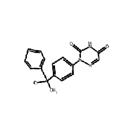 CC(Cl)(c1ccccc1)c1ccc(-n2ncc(=O)[nH]c2=O)cc1